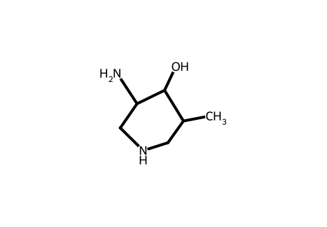 CC1CNCC(N)C1O